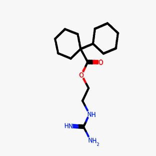 N=C(N)NCCOC(=O)C1(C2CCCCC2)CCCCC1